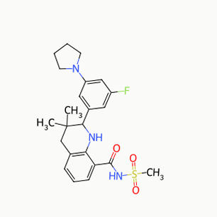 CC1(C)Cc2cccc(C(=O)NS(C)(=O)=O)c2NC1c1cc(F)cc(N2CCCC2)c1